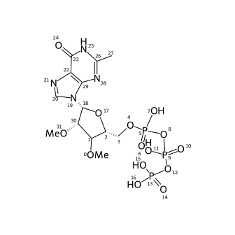 COC1[C@@H](COP(=O)(O)OP(=O)(O)OP(=O)(O)O)O[C@@H](n2cnc3c(=O)[nH]c(C)nc32)[C@H]1OC